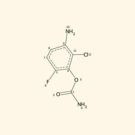 NC(=O)Oc1c(F)ccc(N)c1Cl